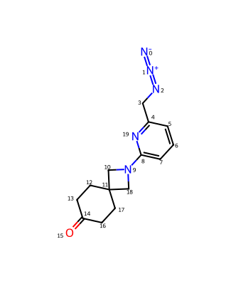 [N-]=[N+]=NCc1cccc(N2CC3(CCC(=O)CC3)C2)n1